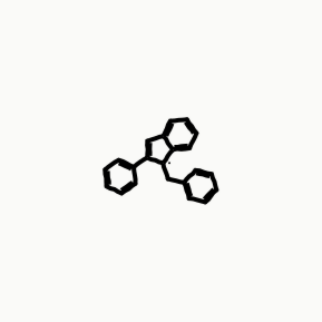 C1=C(c2ccccc2)[C](Cc2ccccc2)c2ccccc21